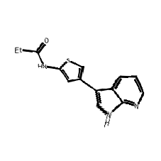 CCC(=O)Nc1cc(-c2c[nH]c3ncccc23)cs1